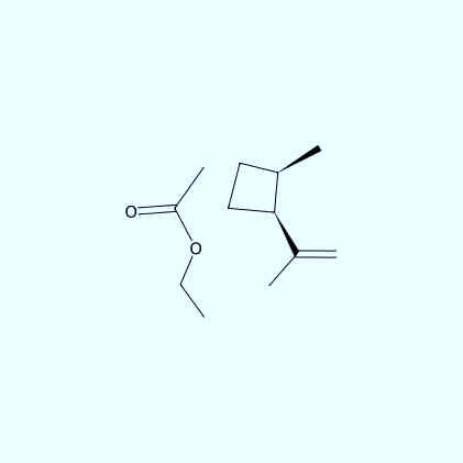 C=C(C)[C@H]1CC[C@H]1C.CCOC(C)=O